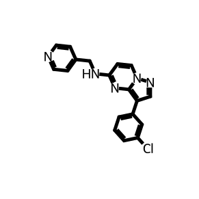 Clc1cccc(-c2cnn3ccc(NCc4ccncc4)nc23)c1